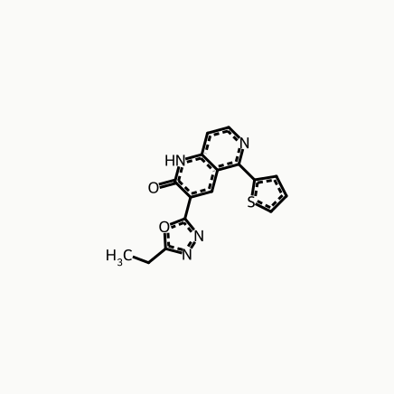 CCc1nnc(-c2cc3c(-c4cccs4)nccc3[nH]c2=O)o1